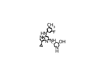 Cc1cc(F)cc(Nc2cc(NC[C@H]3CNC[C@H](O)C3)nc3c(C4CC4)cnn23)c1